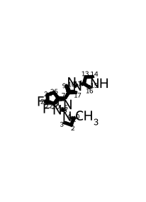 CC1CCN1c1nc(-c2cnn(C3CCNC3)c2)c2c(n1)C(F)(F)CC2